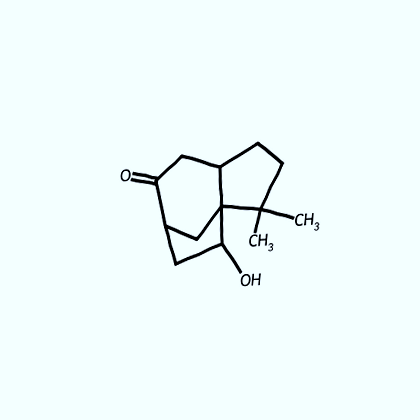 CC1(C)CCC2CC(=O)C3CC(O)C21C3